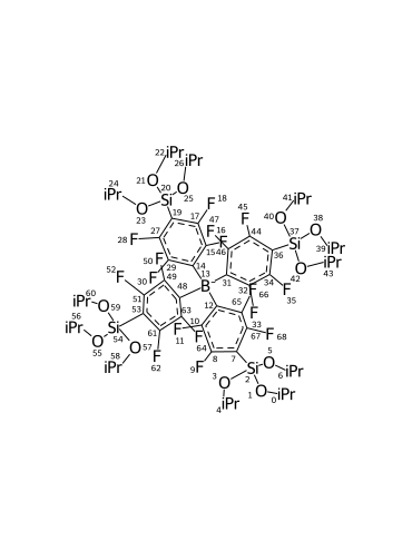 CC(C)O[Si](OC(C)C)(OC(C)C)c1c(F)c(F)c([B-](c2c(F)c(F)c([Si](OC(C)C)(OC(C)C)OC(C)C)c(F)c2F)(c2c(F)c(F)c([Si](OC(C)C)(OC(C)C)OC(C)C)c(F)c2F)c2c(F)c(F)c([Si](OC(C)C)(OC(C)C)OC(C)C)c(F)c2F)c(F)c1F